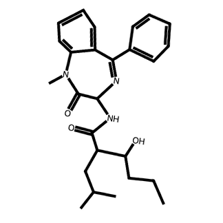 CCCC(O)C(CC(C)C)C(=O)NC1N=C(c2ccccc2)c2ccccc2N(C)C1=O